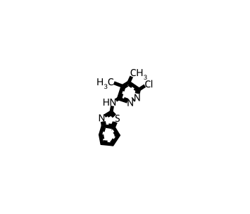 Cc1c(Cl)nnc(Nc2nc3ccccc3s2)c1C